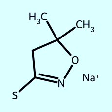 CC1(C)CC([S-])=NO1.[Na+]